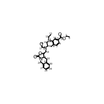 CCOC(=O)c1ccc(C)c(N(CC)CCN(C=O)CC2OC(=O)N3Cc4ccccc4CC23)c1